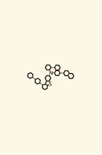 c1ccc(-c2ccc(-c3cccc4sc5cc(N(c6ccc(-c7ccc8ccccc8c7)cc6)c6ccccc6-c6ccccc6)ccc5c34)cc2)cc1